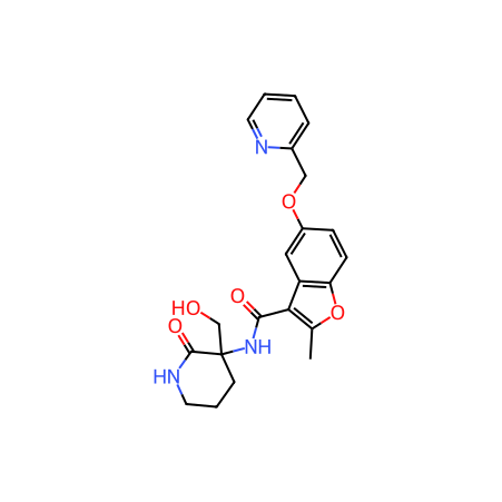 Cc1oc2ccc(OCc3ccccn3)cc2c1C(=O)NC1(CO)CCCNC1=O